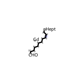 CCCCCCCC/C=C\CCCCCCCC=O.[Gd]